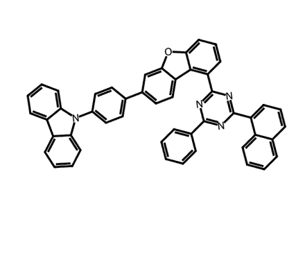 c1ccc(-c2nc(-c3cccc4ccccc34)nc(-c3cccc4oc5cc(-c6ccc(-n7c8ccccc8c8ccccc87)cc6)ccc5c34)n2)cc1